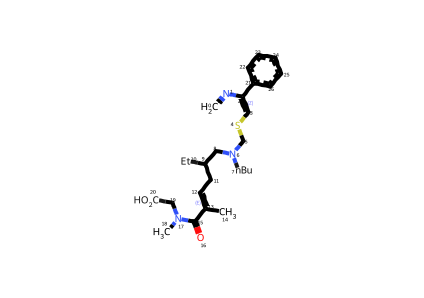 C=N/C(=C\SCN(CCCC)CC(CC)C/C=C(\C)C(=O)N(C)CC(=O)O)c1ccccc1